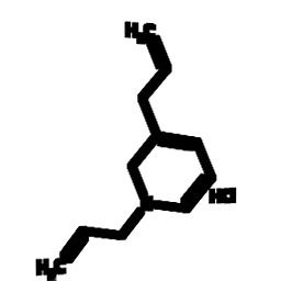 C=CCC1=CC=CN(CC=C)C1.Cl